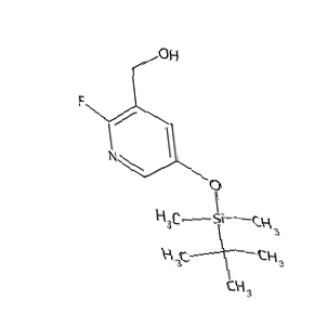 CC(C)(C)[Si](C)(C)Oc1cnc(F)c(CO)c1